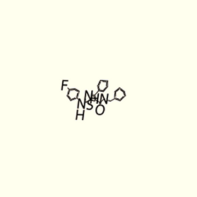 O=C(NCc1ccccc1)c1sc(Nc2ccc(F)cc2)nc1-c1ccccc1